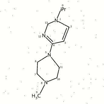 CC(C)N1C=CC(N2CCN(C)CC2)=NC1